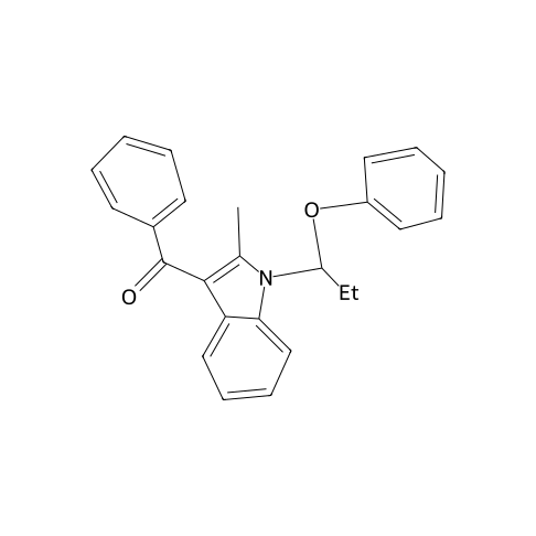 CCC(Oc1ccccc1)n1c(C)c(C(=O)c2ccccc2)c2ccccc21